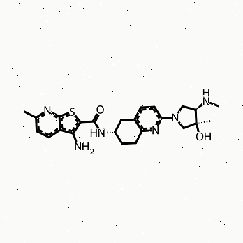 CN[C@@H]1CN(c2ccc3c(n2)CC[C@H](NC(=O)c2sc4nc(C)ccc4c2N)C3)C[C@]1(C)O